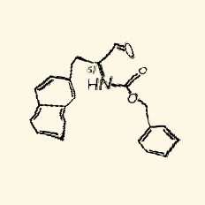 O=C[C@H](Cc1ccc2ccccc2c1)NC(=O)OCc1ccccc1